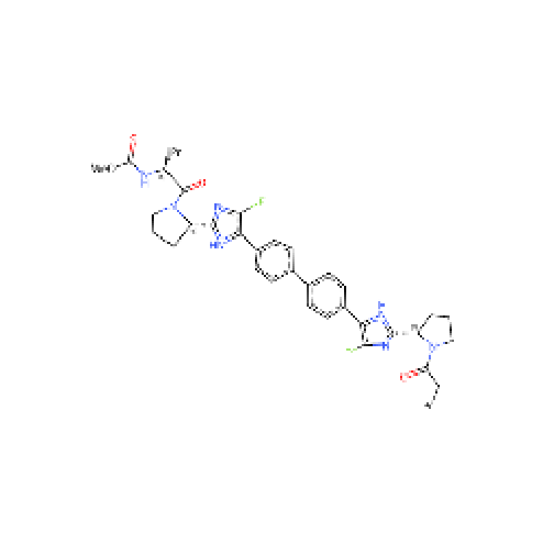 COC(=O)N[C@H](C(=O)N1CCC[C@H]1c1nc(F)c(-c2ccc(-c3ccc(-c4[nH]c([C@@H]5CCCN5C(=O)CC(C)C)nc4F)cc3)cc2)[nH]1)C(C)C